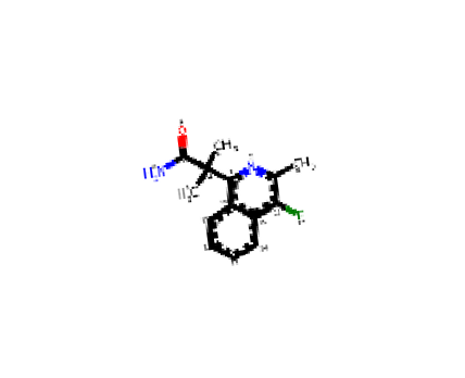 Cc1nc(C(C)(C)C(N)=O)c2ccccc2c1F